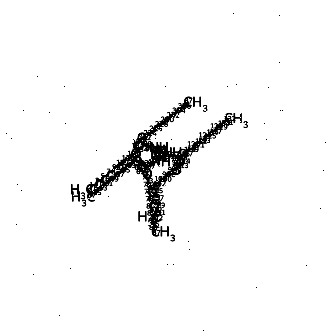 CCCCCCCCCCCCCCCCOc1ccc(OCCCCCCCCCCCCCCCC)c(CCNc2nc(NCCc3cc(OCCCCCCCCCCCCCCCC)ccc3OCCCCCCCCCCCCCCCC)nc(NCCc3cc(OCCCCCCCCCCCCCCCC)ccc3OCCCCCCCCCCCCCCCC)n2)c1